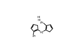 CC(C)C1=[C]([Hf][C]2=C(C(C)C)C=CC2)CC=C1.I.I